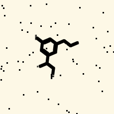 [CH2]C(CF)c1cc(I)cc(CCC)c1